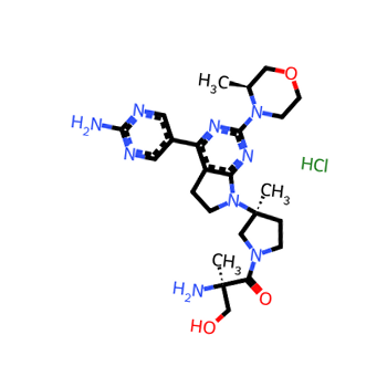 C[C@H]1COCCN1c1nc(-c2cnc(N)nc2)c2c(n1)N([C@@]1(C)CCN(C(=O)[C@](C)(N)CO)C1)CC2.Cl